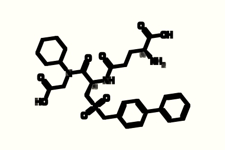 N[C@@H](CCC(=O)N[C@@H](CS(=O)(=O)Cc1ccc(-c2ccccc2)cc1)C(=O)N(CC(=O)O)C1CCCCC1)C(=O)O